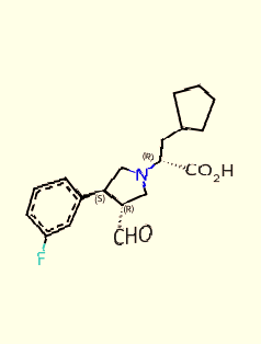 O=C[C@H]1CN([C@H](CC2CCCC2)C(=O)O)C[C@@H]1c1cccc(F)c1